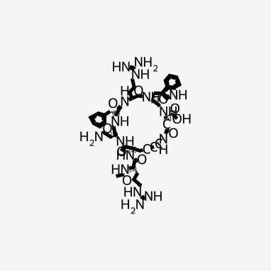 CC(=O)N[C@@H](CCCNC(=N)N)C(=O)N[C@H]1CCCCNC(=O)C[C@@H](C(=O)O)NC(=O)[C@H](Cc2c[nH]c3ccccc23)NC(=O)C(CCCNC(=N)N)NC(=O)[C@@H](Cc2ccccc2)NC(=O)[C@H](CCN)NC1=O